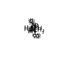 CC(C)(NCc1cccc2ccccc12)C(C)(C)C(=O)N(Cc1ccccc1)Cc1ccccc1